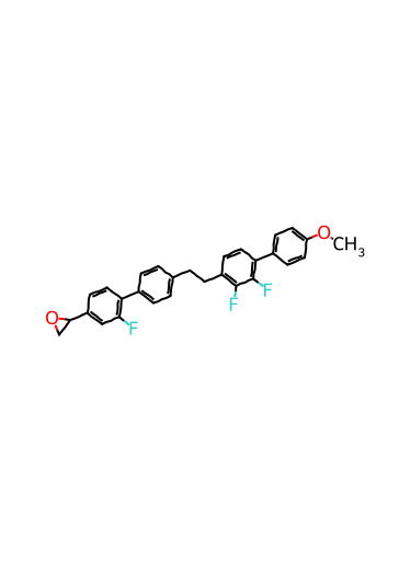 COc1ccc(-c2ccc(CCc3ccc(-c4ccc(C5CO5)cc4F)cc3)c(F)c2F)cc1